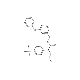 CCCC(C(=O)SCc1cccc(Oc2ccccc2)c1)c1ccc(C(F)(F)F)cc1